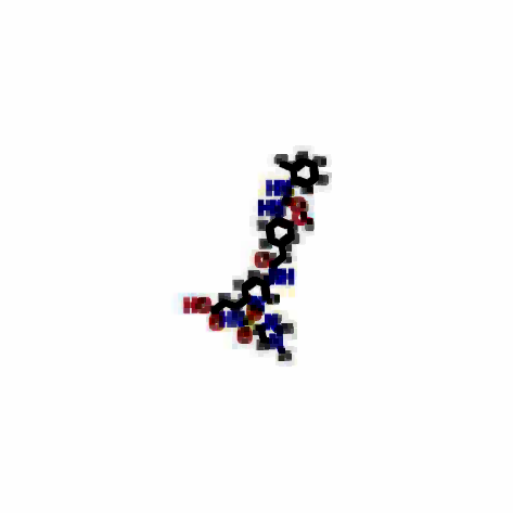 COc1cc(CC(=O)Nc2ccc(C(CC(=O)O)NS(=O)(=O)C3CN(C)C=N3)nc2)ccc1NC(=O)Nc1ccccc1C